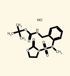 CN(c1ccccc1CNC(=O)OC(C)(C)C)S(=O)(=O)N1CCOC1=O.Cl